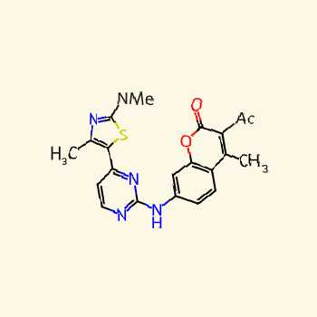 CNc1nc(C)c(-c2ccnc(Nc3ccc4c(C)c(C(C)=O)c(=O)oc4c3)n2)s1